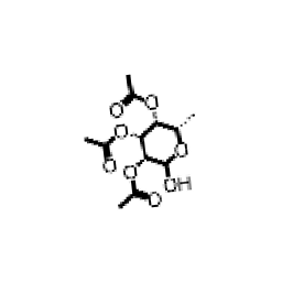 CC(=O)O[C@@H]1[C@H](OC(C)=O)[C@H](C)OC(O)[C@H]1OC(C)=O